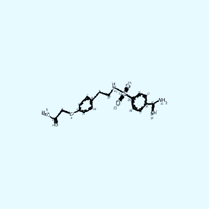 COC(=O)COc1ccc(CCNS(=O)(=O)c2ccc(C(=N)N)cc2)cc1